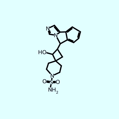 NS(=O)(=O)N1CCC2(CC1)CC(C1c3ccccc3-c3cncn31)C2O